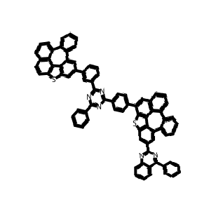 c1ccc(-c2nc(-c3ccc(-c4cc5cccc6c5c5c4sc4cc(-c7nc(-c8ccccc8)c8ccccc8n7)cc(c45)-c4ccccc4-6)cc3)nc(-c3cccc(-c4cc5c6c(c4)sc4ccc7cccc(c7c46)-c4ccccc4-5)c3)n2)cc1